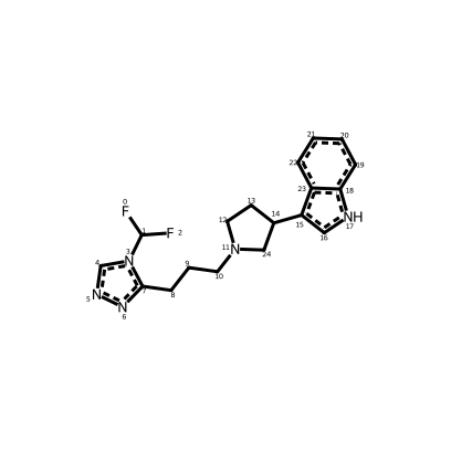 FC(F)n1cnnc1CCCN1CCC(c2c[nH]c3ccccc23)C1